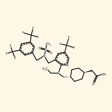 CCN(C[C@H]1CC[C@H](CC(=O)O)CC1)c1ncc(C(F)(F)F)cc1CN(Cc1cc(C(F)(F)F)cc(C(F)(F)F)c1)S(C)(=O)=O